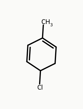 CC1=CCC(Cl)C=C1